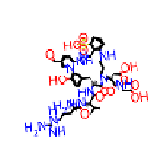 CC(C)[C@@H](NC(=O)[C@@H](N)CCCNC(=N)N)C(=O)N[C@H](Cc1ccc(O)cc1)C(=O)N(CCCNc1cccc(S(=O)(=O)O)c1C=NNc1ccc(C=O)cn1)[C@H](CC(=O)O)C(=O)NCC(=O)O